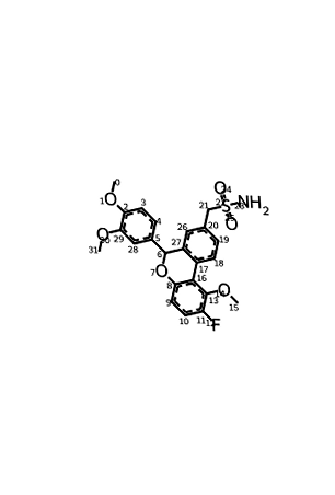 COc1ccc(C2Oc3ccc(F)c(OC)c3-c3ccc(CS(N)(=O)=O)cc32)cc1OC